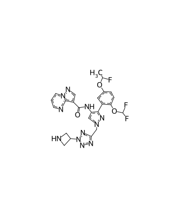 CC(F)Oc1ccc(OC(F)F)c(-c2nn(Cc3nnn(C4CNC4)n3)cc2NC(=O)c2cnn3cccnc23)c1